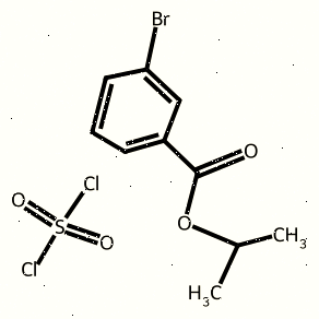 CC(C)OC(=O)c1cccc(Br)c1.O=S(=O)(Cl)Cl